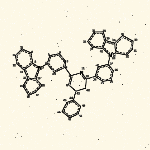 C1=C(c2cccc(-n3c4ccccc4c4ccccc43)c2)N=C(c2cccc(-n3c4ccccc4c4ccccc43)c2)CC1c1ccccc1